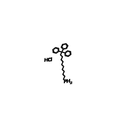 Cl.PCCCCCCCCCCCC(c1ccccc1)(c1ccccc1)c1ccccc1